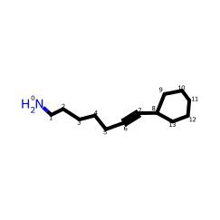 NCCCCCC#CC1CCCCC1